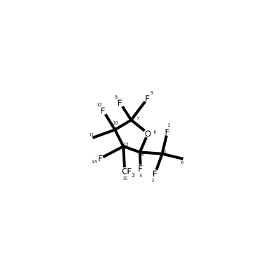 CC(F)(F)C1(F)OC(F)(F)C(C)(F)C1(F)C(F)(F)F